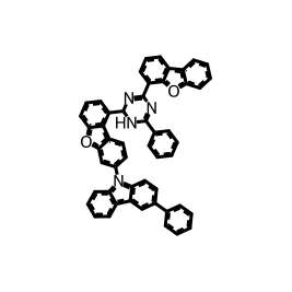 c1ccc(C2=NC(c3cccc4c3oc3ccccc34)=NC(c3cccc4oc5cc(-n6c7ccccc7c7cc(-c8ccccc8)ccc76)ccc5c34)N2)cc1